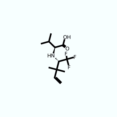 C=CC(C)(C)[C@H](N[C@H](C(=O)O)C(C)C)C(F)(F)F